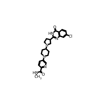 CNC(=O)c1ccc(N2CCC(N3CCC(c4nc5cc(Cl)ccc5c(=O)[nH]4)C3)CC2)cn1